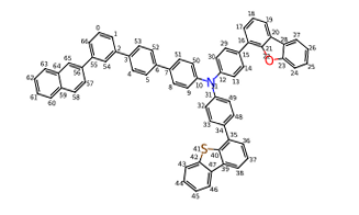 c1cc(-c2ccc(-c3ccc(N(c4ccc(-c5cccc6c5oc5ccccc56)cc4)c4ccc(-c5cccc6c5sc5ccccc56)cc4)cc3)cc2)cc(-c2ccc3ccccc3c2)c1